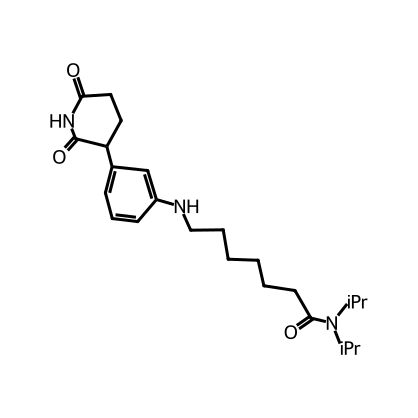 CC(C)N(C(=O)CCCCCCNc1cccc(C2CCC(=O)NC2=O)c1)C(C)C